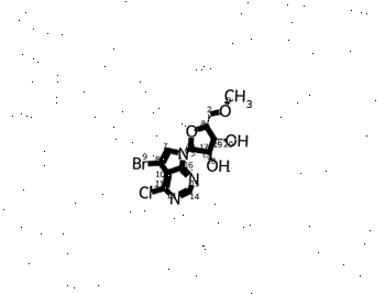 COC[C@H]1O[C@@H](n2cc(Br)c3c(Cl)ncnc32)[C@@H](O)[C@H]1O